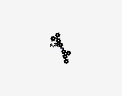 CCC1(CC)c2cc(/C=C/c3ccc(-c4ccc(-c5ccccc5)cc4-c4ccccc4)cc3)ccc2-c2ccc(N(c3ccccc3)c3ccccc3)cc21